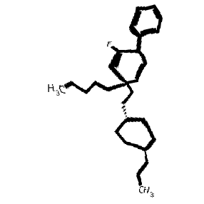 CCCCCC1(CC[C@H]2CC[C@H](CCC)CC2)C=CC(c2ccccc2)C(F)=C1